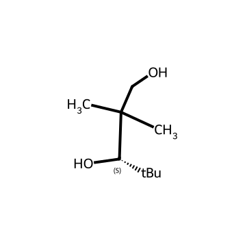 CC(C)(C)[C@H](O)C(C)(C)CO